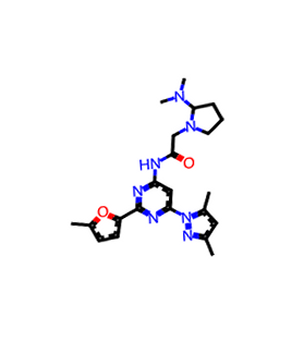 Cc1cc(C)n(-c2cc(NC(=O)CN3CCCC3N(C)C)nc(-c3ccc(C)o3)n2)n1